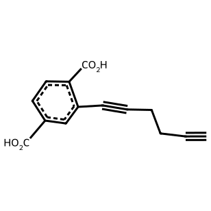 C#CCCC#Cc1cc(C(=O)O)ccc1C(=O)O